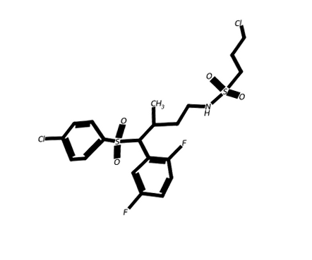 CC(CCNS(=O)(=O)CCCCl)C(c1cc(F)ccc1F)S(=O)(=O)c1ccc(Cl)cc1